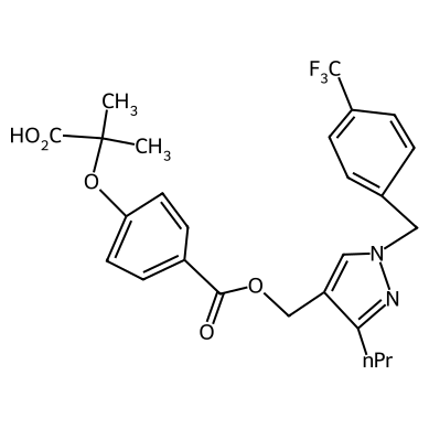 CCCc1nn(Cc2ccc(C(F)(F)F)cc2)cc1COC(=O)c1ccc(OC(C)(C)C(=O)O)cc1